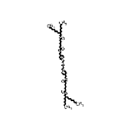 CCCCCCCCC(CCCCCC)COC(=O)CCCCCC(=O)OCCC1CCN(CCSSCCN2CCC(CCOC(=O)CCCCCC(=O)OCC(CCCCCC)CCCCCCCC)CC2)CC1